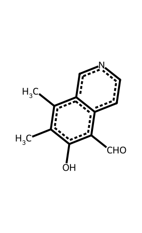 Cc1c(O)c(C=O)c2ccncc2c1C